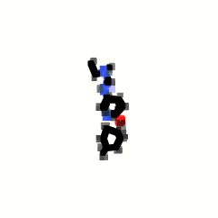 CCN(C)/C=N/c1ccc(O[C@H]2CC[C@H](C)CC2)nc1